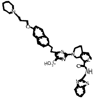 O=C(Nc1nc2ccccc2s1)c1cccc2c1CN(c1nc(C(=O)O)c(CCc3ccc4cc(OCCCN5CCCCC5)ccc4c3)s1)CC2